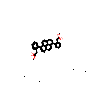 COC(=O)Cc1ccccc1-c1ccc2ccc3c(-c4ccccc4CC(=O)OC)ccc4ccc1c2c43